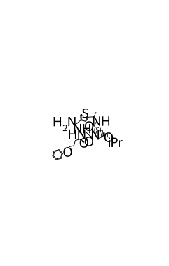 CC(C)O[C@@H]1C[C@@H](C(=O)NC(C)c2cc(C(=N)N)cs2)N(C(=O)CNC(=O)CCCOc2ccccc2)C1